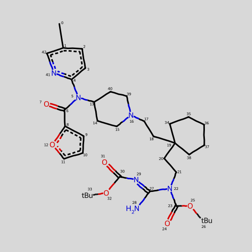 Cc1ccc(N(C(=O)c2ccco2)C2CCN(CCC3(CCN(C(=O)OC(C)(C)C)C(N)=NC(=O)OC(C)(C)C)CCCCC3)CC2)nc1